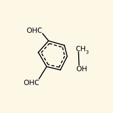 CO.O=Cc1cccc(C=O)c1